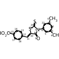 Cc1cc(C)cc(N2C(=O)/C(=C/c3ccc(C(=O)O)cc3)SC2=S)c1